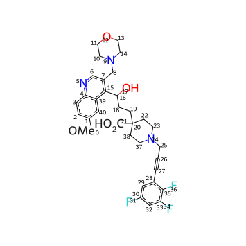 COc1ccc2ncc(CN3CCOCC3)c(C(O)CCC3(C(=O)O)CCN(CC#Cc4cc(F)cc(F)c4F)CC3)c2c1